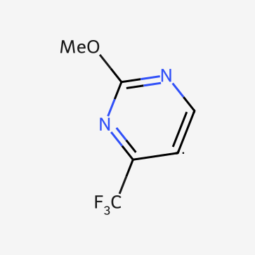 COc1nc[c]c(C(F)(F)F)n1